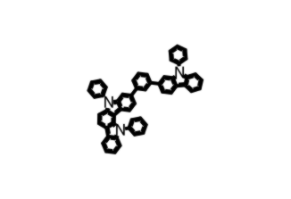 c1ccc(-n2c3ccccc3c3ccc(-c4cccc(-c5ccc6c7c(ccc8c9ccccc9n(-c9ccccc9)c87)n(-c7ccccc7)c6c5)c4)cc32)cc1